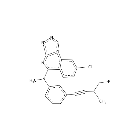 CC(C#Cc1cccc(N(C)c2nc3nncn3c3cc(Cl)ccc23)c1)CF